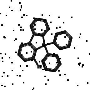 CCc1cccc2c1[Si](c1ccccc1)(c1ccccc1)c1ccccc1-2